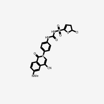 CNc1ccc2c(=O)n(-c3ccc(NC(=O)NS(=O)(=O)C4=CCC(Cl)S4)cc3)cc(C#N)c2c1